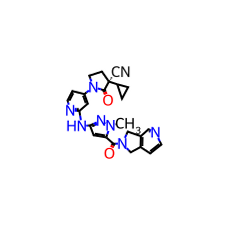 Cn1nc(Nc2cc(N3CC[C@@](C#N)(C4CC4)C3=O)ccn2)cc1C(=O)N1Cc2ccncc2C1